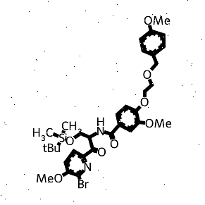 COc1ccc(COCCOc2ccc(C(=O)NC(CO[Si](C)(C)C(C)(C)C)C(=O)c3ccc(OC)c(Br)n3)cc2OC)cc1